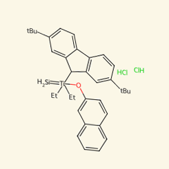 C[CH2][Ti](=[SiH2])([CH2]C)([O]c1ccc2ccccc2c1)[CH]1c2cc(C(C)(C)C)ccc2-c2ccc(C(C)(C)C)cc21.Cl.Cl